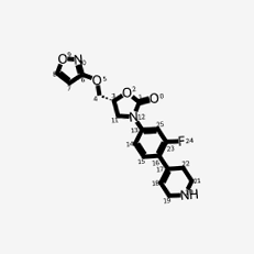 O=C1O[C@@H](COc2ccon2)CN1c1ccc(C2=CCNCC2)c(F)c1